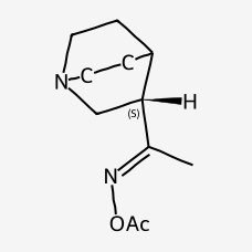 CC(=O)ON=C(C)[C@@H]1CN2CCC1CC2